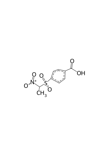 CC([N+](=O)[O-])S(=O)(=O)c1ccc(C(=O)O)cc1